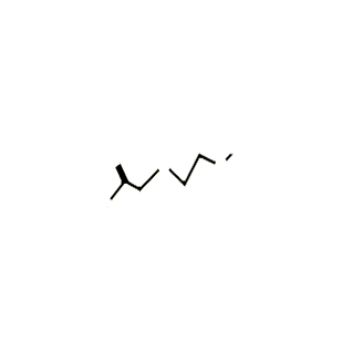 CCCOCCOCC(N)=O